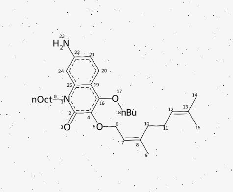 CCCCCCCCn1c(=O)c(OCC=C(C)CCC=C(C)C)c(OCCCC)c2ccc(N)cc21